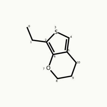 CCc1scc2c1OCCC2